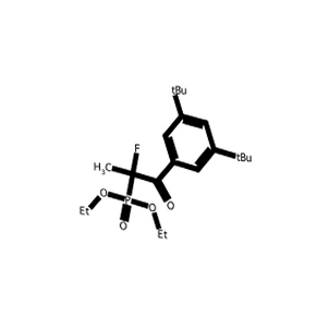 CCOP(=O)(OCC)C(C)(F)C(=O)c1cc(C(C)(C)C)cc(C(C)(C)C)c1